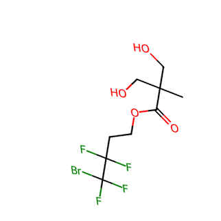 CC(CO)(CO)C(=O)OCCC(F)(F)C(F)(F)Br